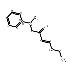 CCO/C=C/C(=O)C[S+]([O-])[13c]1ccccc1